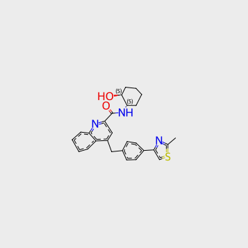 Cc1nc(-c2ccc(Cc3cc(C(=O)N[C@H]4CCCC[C@@H]4O)nc4ccccc34)cc2)cs1